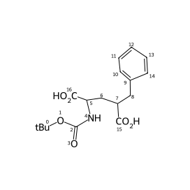 CC(C)(C)OC(=O)NC(CC(Cc1ccccc1)C(=O)O)C(=O)O